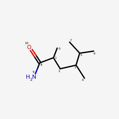 CC(CC(C)C(C)C)C(N)=O